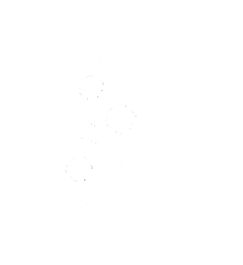 Cc1cc(C)c(S(=O)(=O)N(Cc2ccc(O)cc2Cl)c2ccc(CCCO)cc2)c(C)c1